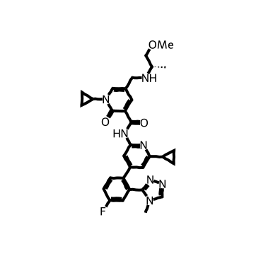 COC[C@H](C)NCc1cc(C(=O)Nc2cc(-c3ccc(F)cc3-c3nncn3C)cc(C3CC3)n2)c(=O)n(C2CC2)c1